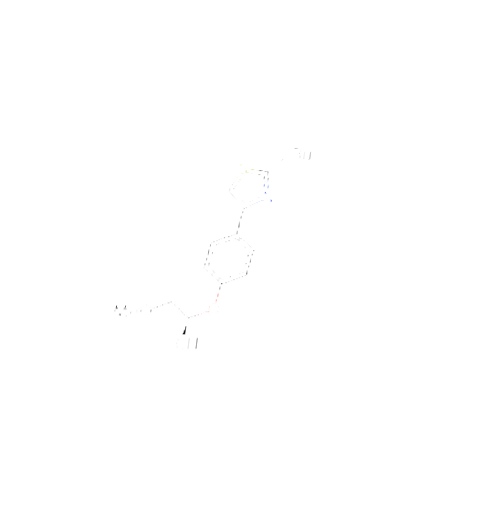 COC[C@H](C)Oc1ccc(-c2csc(C(C)(C)C)n2)cc1